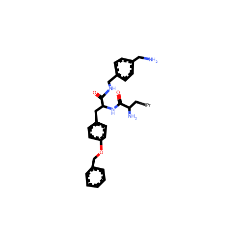 CC(C)CC(N)C(=O)NC(Cc1ccc(OCc2ccccc2)cc1)C(=O)NCc1ccc(CN)cc1